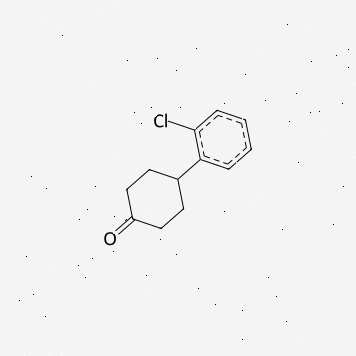 O=C1CCC(c2ccccc2Cl)CC1